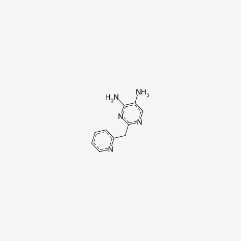 Nc1cnc(Cc2ccccn2)nc1N